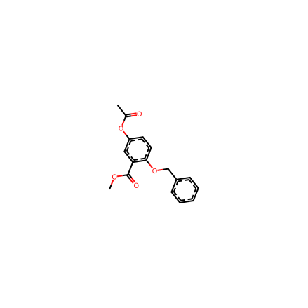 COC(=O)c1cc(OC(C)=O)ccc1OCc1ccccc1